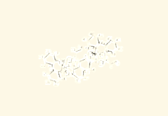 C=CCOC(c1ccc2c(C(OCC=C)P3(=O)Oc4ccccc4-c4ccccc43)cccc2c1)P1(=O)Oc2ccccc2-c2ccccc21